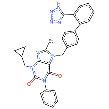 CCc1nc2c(c(=O)n(-c3ccccc3)c(=O)n2CC2CC2)n1Cc1ccc(-c2ccccc2-c2nnn[nH]2)cc1